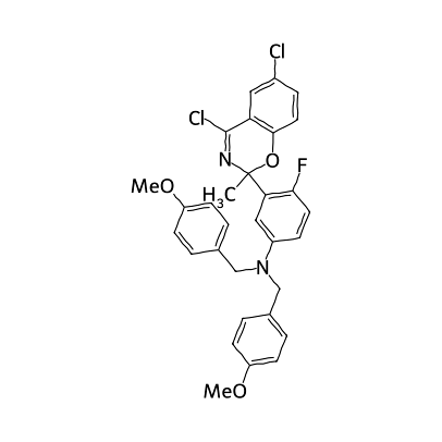 COc1ccc(CN(Cc2ccc(OC)cc2)c2ccc(F)c(C3(C)N=C(Cl)c4cc(Cl)ccc4O3)c2)cc1